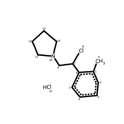 Cc1ccccc1C(Cl)CN1CCCC1.Cl